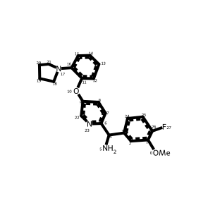 COc1cc(C(N)c2ccc(Oc3ccccc3N3CCCC3)cn2)ccc1F